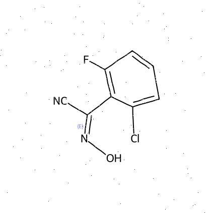 N#C/C(=N/O)c1c(F)cccc1Cl